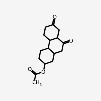 CC(=O)OC1CCC2C(CC(=O)C3CC(=O)CCC32)C1